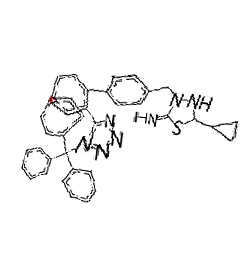 N=C1SC(C2CC2)NN1Cc1ccc(-c2ccccc2-c2nnnn2C(c2ccccc2)(c2ccccc2)c2ccccc2)cc1